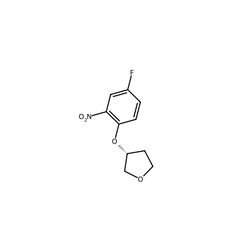 O=[N+]([O-])c1cc(F)ccc1O[C@@H]1CCOC1